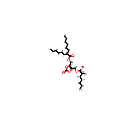 CCCCCCC(CCCCCC)C(=O)OCc1oc(=O)oc1COC(=O)C(C)CCCCC